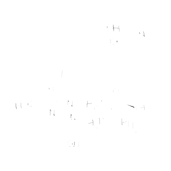 CCn1c(CO)nn(-c2cc(O[C@@H](C)C(P)(P)P)c(/C=C/c3cccnc3OC)cc2I)c1=O